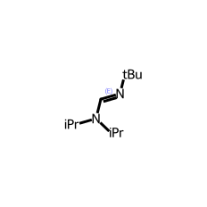 CC(C)N(/C=N/C(C)(C)C)C(C)C